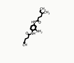 C#CCCC(=O)Nc1ccc(NC(=O)CCC(C)C=C)cc1N